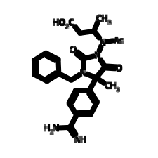 CC(=O)N(C(C)CC(=O)O)N1C(=O)N(Cc2ccccc2)C(C)(c2ccc(C(=N)N)cc2)C1=O